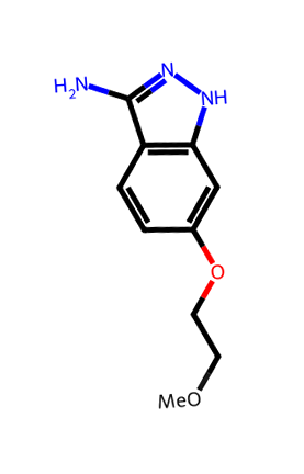 COCCOc1ccc2c(N)n[nH]c2c1